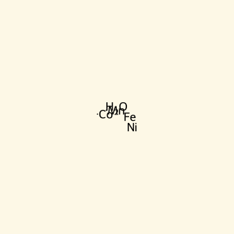 O.[Co].[Fe].[Mn].[Ni]